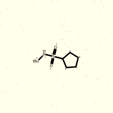 CC(C)(C)NS(=O)(=O)C1CCCC1